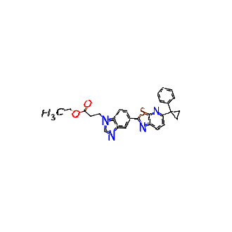 CCOC(=O)CCn1cnc2cc(-c3nc4ccc(C5(c6ccccc6)CC5)nc4s3)ccc21